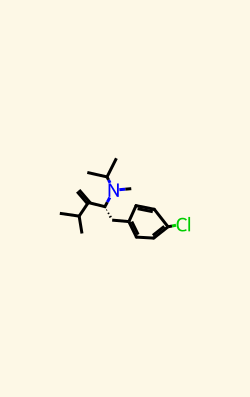 C=C(C(C)C)[C@@H](Cc1ccc(Cl)cc1)N(C)C(C)C